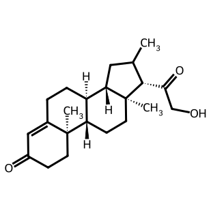 CC1C[C@H]2[C@@H]3CCC4=CC(=O)CC[C@]4(C)[C@H]3CC[C@]2(C)[C@H]1C(=O)CO